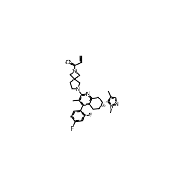 C=CC(=O)N1CC2(CCN(c3nc4c(c(-c5ccc(F)cc5F)c3C)CC[C@@H](c3c(C)cnn3C)C4)C2)C1